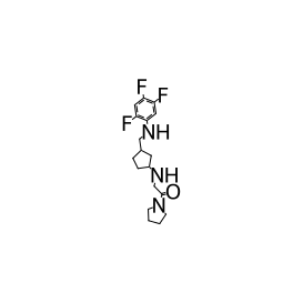 O=C(CNC1CCC(CNc2cc(F)c(F)cc2F)C1)N1CCCC1